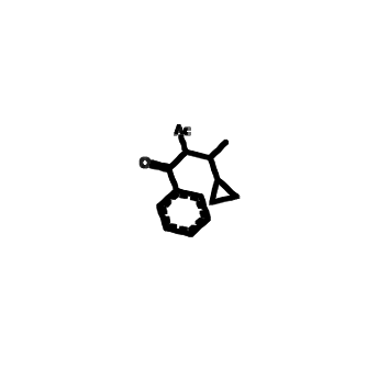 CC(=O)C(C(=O)c1ccccc1)C(C)C1CC1